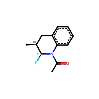 CC(=O)N1c2ccccc2C[C@H](C)[C@@H]1F